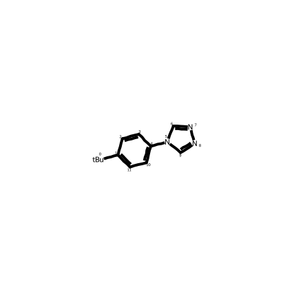 CC(C)(C)c1ccc(-n2cnnc2)cc1